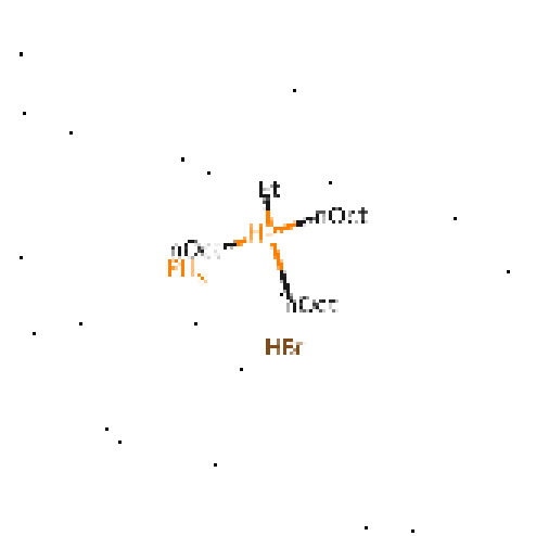 Br.CCCCCCCC[PH](CC)(CCCCCCCC)CCCCCCCC.P